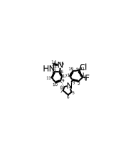 Fc1cc(N2CCC[C@@H]2c2ccc3[nH]cnc3c2)ccc1Cl